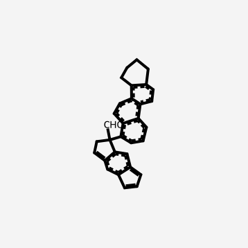 O=CC1(c2cccc3c2ccc2c4c(ccc23)CCCC4)CC=c2cc3c(cc21)=CC=C3